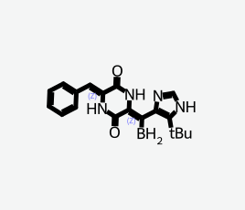 B/C(c1nc[nH]c1C(C)(C)C)=c1/[nH]c(=O)/c(=C/c2ccccc2)[nH]c1=O